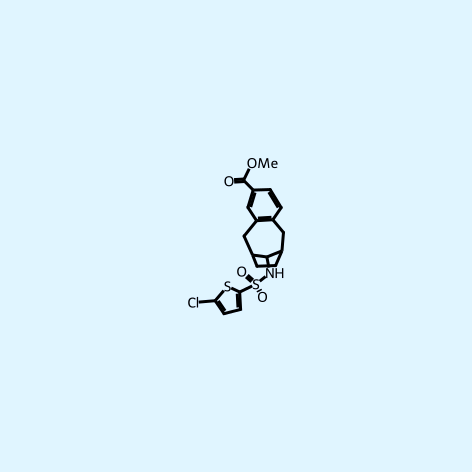 COC(=O)c1ccc2c(c1)CC1CCC(C2)C1NS(=O)(=O)c1ccc(Cl)s1